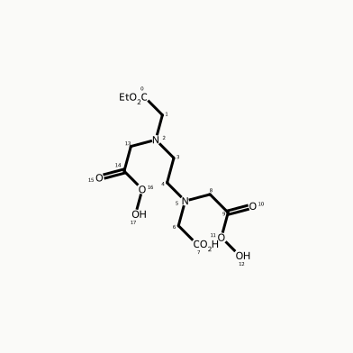 CCOC(=O)CN(CCN(CC(=O)O)CC(=O)OO)CC(=O)OO